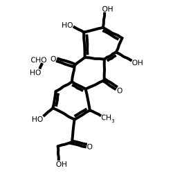 Cc1c(C(=O)CO)c(O)cc2c1C(=O)c1c(O)cc(O)c(O)c1C2=O.O=CO